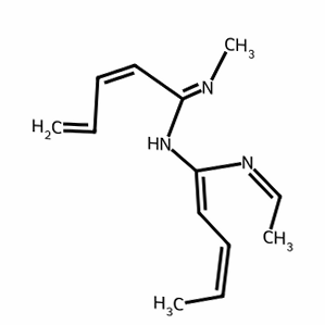 C=C/C=C\C(=N/C)NC(=C/C=C\C)/N=C\C